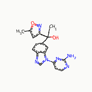 Cc1cc(C(C)(O)c2ccc3ncn(-c4ccnc(N)n4)c3c2)no1